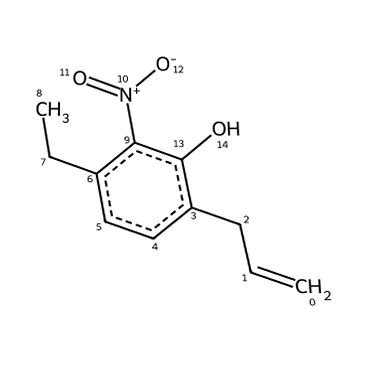 C=CCc1ccc(CC)c([N+](=O)[O-])c1O